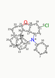 Clc1cc(N(c2ccccc2)c2ccccc2)c2c(c1)oc1ccc3ccccc3c12